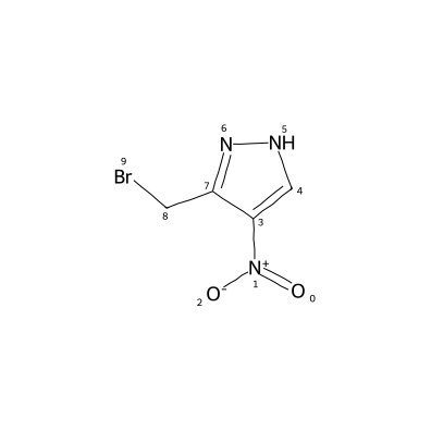 O=[N+]([O-])c1c[nH]nc1CBr